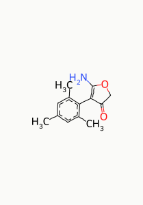 Cc1cc(C)c(C2=C(N)OCC2=O)c(C)c1